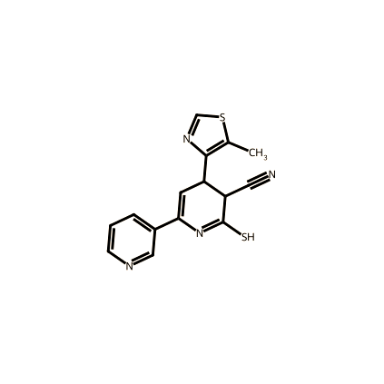 Cc1scnc1C1C=C(c2cccnc2)N=C(S)C1C#N